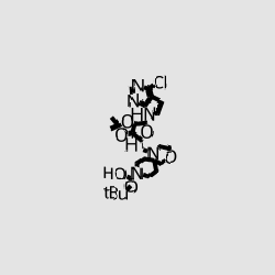 CC(C)(C)OC(O)N1CCC2(CC1)COCCN2C[C@H]1O[C@@H](n2ccc3c(Cl)ncnc32)[C@@H]2OC(C)(C)O[C@@H]21